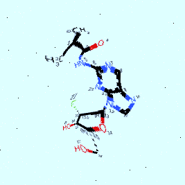 CC(C)C(=O)Nc1ncc2ncn([C@@H]3O[C@H](CO)[C@@H](O)[C@@H]3F)c2n1